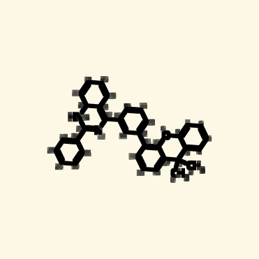 CC1(C)c2ccccc2Oc2c(-c3cccc(C4=C5C=CC=CC5NC(c5ccccc5)=N4)c3)cccc21